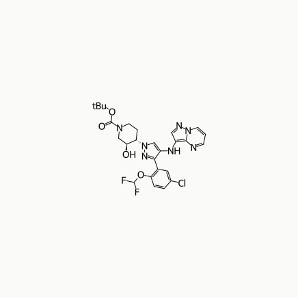 CC(C)(C)OC(=O)N1CC[C@H](n2cc(Nc3cnn4cccnc34)c(-c3cc(Cl)ccc3OC(F)F)n2)[C@@H](O)C1